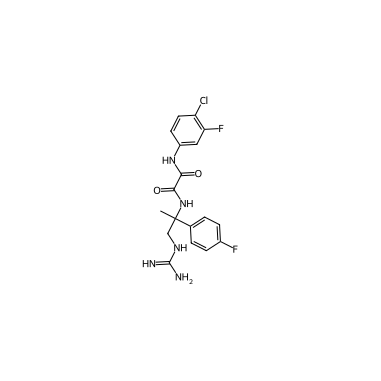 CC(CNC(=N)N)(NC(=O)C(=O)Nc1ccc(Cl)c(F)c1)c1ccc(F)cc1